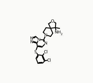 CC1(N)COCC12CCN(c1ncc(Sc3cccc(Cl)c3Cl)c3nncn13)CC2